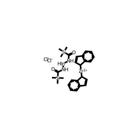 C1=C[CH]([Zr+2][CH]2C=Cc3ccccc32)c2ccccc21.C[Si](C)(C)C(=O)[NH][InH][NH]C(=O)[Si](C)(C)C.[Cl-].[Cl-]